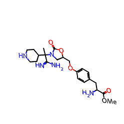 COC(=O)C(N)Cc1ccc(OCC2CN(C(C)(C(=N)N)C3CCNCC3)C(=O)O2)cc1